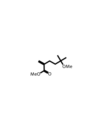 C=C(CCC(C)(C)OC)C(=O)OC